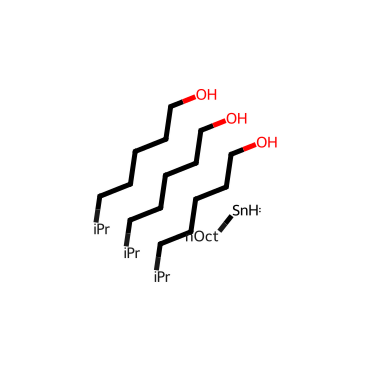 CC(C)CCCCCO.CC(C)CCCCCO.CC(C)CCCCCO.CCCCCCC[CH2][SnH]